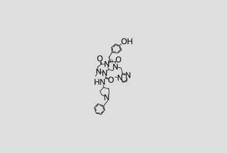 CN1CC(=O)N2C(CN(Cc3nccn3C)C(=O)[C@@H]2Cc2ccc(O)cc2)N1C(=O)NC1CCN(Cc2ccccc2)CC1